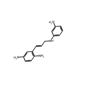 Nc1cccc(NCC=Cc2cc(N)ccc2N)c1